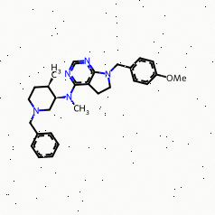 COc1ccc(CN2CCc3c2ncnc3N(C)[C@H]2CN(Cc3ccccc3)CC[C@H]2C)cc1